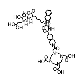 O=C(O)CN1CCN(CC(=O)O)CCN(CC(=O)N2CCC3(CCC(C(=O)N[C@@H](Cc4ccc5ccccc5c4)C(=O)NCCCCC(NC(=O)N[C@@H](CCC(O)O)C(=O)O)C(=O)O)CC3)CC2)CCN(CC(=O)O)CC1